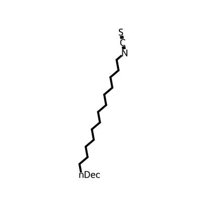 CCCCCCCCCCCCCCCCCCCCCCCN=C=S